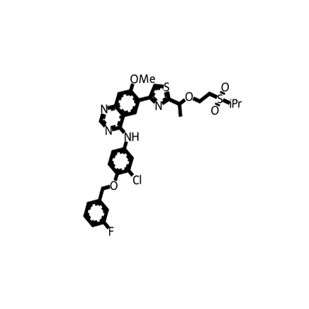 COc1cc2ncnc(Nc3ccc(OCc4cccc(F)c4)c(Cl)c3)c2cc1-c1csc(C(C)OCCS(=O)(=O)C(C)C)n1